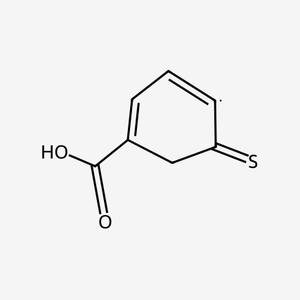 O=C(O)C1=CC=[C]C(=S)C1